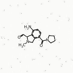 CN1Cc2c(C(=O)N3CCCC3)ccc(N)c2C1C=O